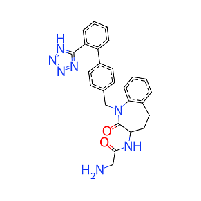 NCC(=O)NC1CCc2ccccc2N(Cc2ccc(-c3ccccc3-c3nnn[nH]3)cc2)C1=O